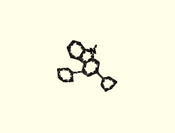 Cn1c2ccccc2c2c(-c3ccccc3)cc(-c3ccccc3)cc21